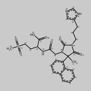 CC1(c2cccc3ccccc23)C(=O)N(CCCc2cnc[nH]2)C(=O)N1CC(=O)NC(CCS(C)(=O)=O)C(=O)O